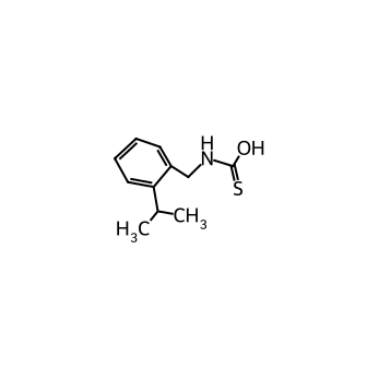 CC(C)c1ccccc1CNC(O)=S